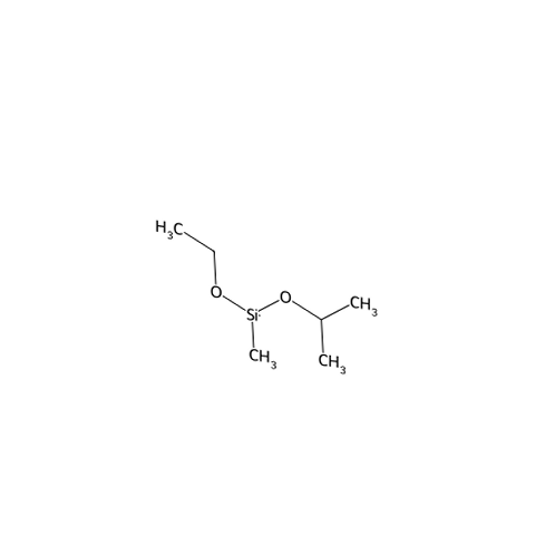 CCO[Si](C)OC(C)C